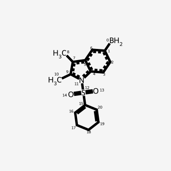 Bc1ccc2c(c1)c(C)c(C)n2S(=O)(=O)C1=CCCC=C1